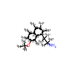 [2H]c1c([2H])c(C([2H])([2H])C([2H])([2H])N)c2c([2H])c(OC([2H])([2H])[2H])c([2H])c([2H])c2c1[2H]